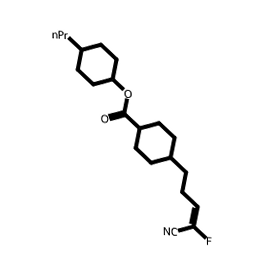 CCCC1CCC(OC(=O)C2CCC(CC/C=C(/F)C#N)CC2)CC1